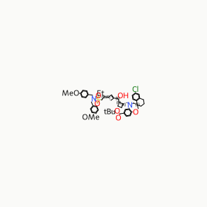 CC[C@H](CS(=O)(=O)N(Cc1ccc(OC)cc1)Cc1ccc(OC)cc1)[C@@H]1C=C([C@@H](O)[C@@H]2CC[C@H]2CN2C[C@@]3(CCCc4cc(Cl)ccc43)COc3ccc(C(=O)OC(C)(C)C)cc32)C1